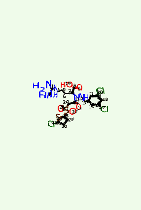 N=C(N)NCCC[C@@H](C(=O)O)N(NCc1cc(Cl)cc(Cl)c1)C(=O)CS(=O)(=O)c1ccc(Cl)s1